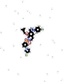 O=S(=O)(c1cccc(N2CC[C@H](F)C2)c1)N1CCC2=Cc3c(cnn3-c3ccc(F)cc3)C[C@]2(COCC2CC2)C1